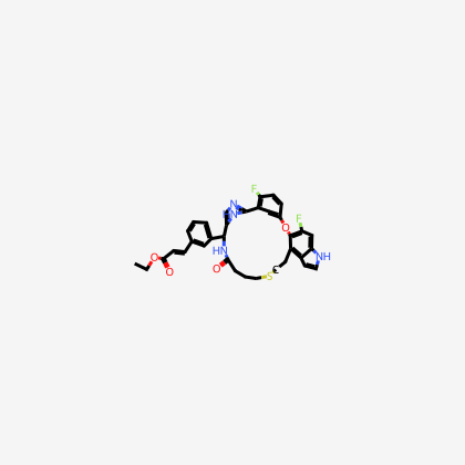 CCOC(=O)/C=C/c1cccc(C2NC(=O)CCCSCCc3c(c(F)cc4[nH]ccc34)Oc3ccc(F)c(c3)-c3ncc2[nH]3)c1